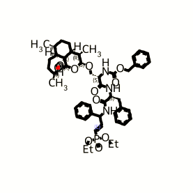 CCOP(=O)(/C=C/C(NC(=O)[C@H](Cc1ccccc1)NC(=O)[C@H](CO[C@H]1O[C@@H]2O[C@@]3(C)CC[C@H]4[C@H](C)CC[C@@H]([C@H]1C)[C@@]24OO3)NC(=O)OCc1ccccc1)c1ccccc1)OCC